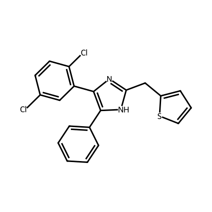 Clc1ccc(Cl)c(-c2nc(Cc3cccs3)[nH]c2-c2ccccc2)c1